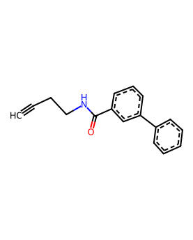 C#CCCNC(=O)c1cccc(-c2ccccc2)c1